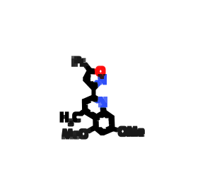 COc1cc(OC)c2c(C)cc(-c3cc(C(C)C)on3)nc2c1